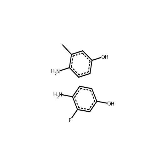 Cc1cc(O)ccc1N.Nc1ccc(O)cc1F